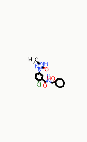 Cc1nn(-c2ccc(Cl)c(C(=O)NCC3(O)CCCCCC3)c2)c(=O)[nH]1